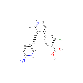 COC(=O)c1ccc(-c2ccnc(C)c2C#Cc2ccc(N)nc2)cc1Cl